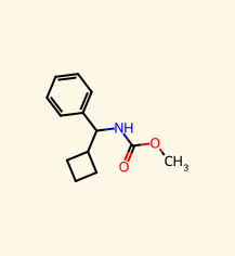 COC(=O)NC(c1ccccc1)C1CCC1